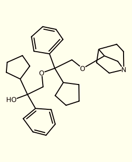 OC(COC(COC1CN2CCC1CC2)(c1ccccc1)C1CCCC1)(c1ccccc1)C1CCCC1